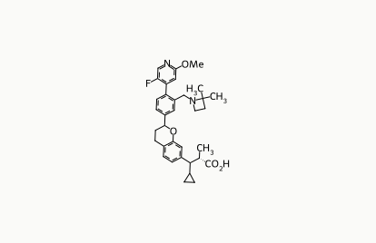 COc1cc(-c2ccc(C3CCc4ccc(C(C5CC5)[C@H](C)C(=O)O)cc4O3)cc2CN2CCC2(C)C)c(F)cn1